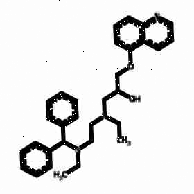 CCN(CCN(CC)C(c1ccccc1)c1ccccc1)CC(O)COc1cccc2ncccc12